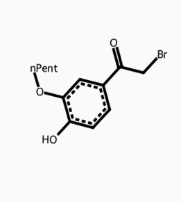 CCCCCOc1cc(C(=O)CBr)ccc1O